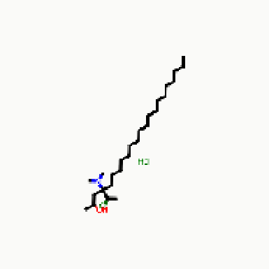 C=C(Cl)C(CCCCCCCCCCCCCCCCCC)(CC(C)O)N(C)C.Cl